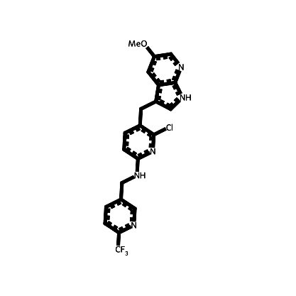 COc1cnc2[nH]cc(Cc3ccc(NCc4ccc(C(F)(F)F)nc4)nc3Cl)c2c1